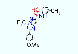 COc1ccc(-c2cc(C(F)(F)F)n3nc(C(=O)Nc4cc(C)ccc4O)cc3n2)cc1